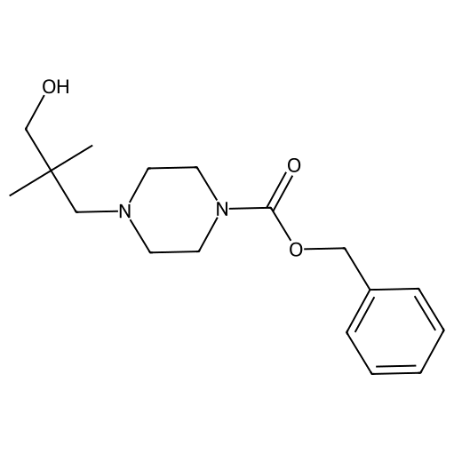 CC(C)(CO)CN1CCN(C(=O)OCc2ccccc2)CC1